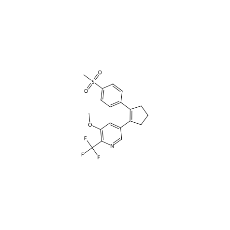 COc1cc(C2=C(c3ccc(S(C)(=O)=O)cc3)CCC2)cnc1C(F)(F)F